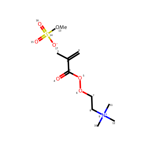 C=C(C)C(=O)OOCC[N+](C)(C)C.COS(=O)(=O)[O-]